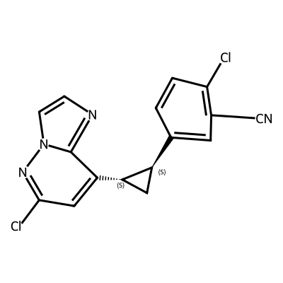 N#Cc1cc([C@H]2C[C@@H]2c2cc(Cl)nn3ccnc23)ccc1Cl